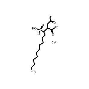 CCCCCCCCCCCC(C(CC(=O)[O-])C(=O)[O-])S(=O)(=O)O.[Ca+2]